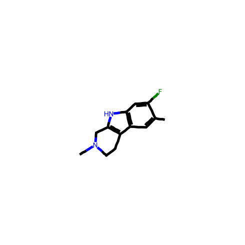 Cc1cc2c3c([nH]c2cc1F)CN(C)CC3